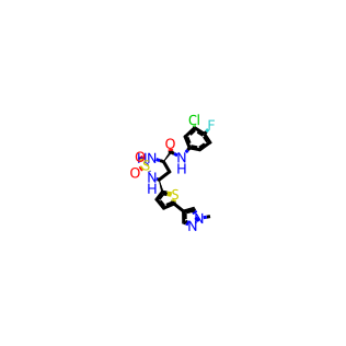 Cn1cc(-c2ccc([C@@H]3C[C@H](C(=O)Nc4ccc(F)c(Cl)c4)NS(=O)(=O)N3)s2)cn1